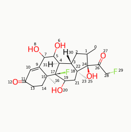 CC1C[C@H]2[C@@H]3C(O)C(O)C4=CC(=O)CC[C@]4(C)[C@@]3(F)C(O)C[C@]2(C)[C@@]1(O)C(=O)CF